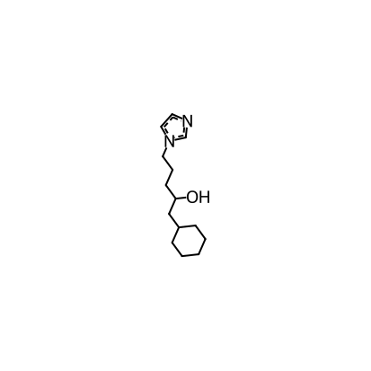 OC(CCCn1ccnc1)CC1CCCCC1